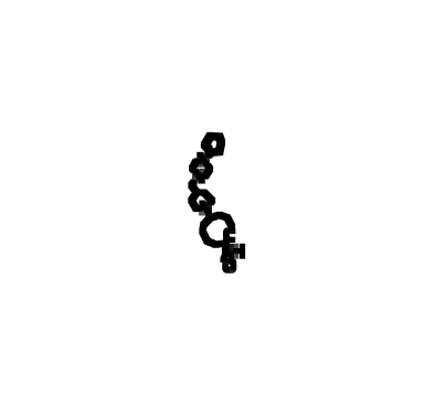 O=CNC1CCCCC(N2CCC(CN3CCN(c4ccccc4)CC3)CC2)CCCC1